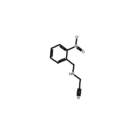 N#CCNCc1ccccc1[N+](=O)[O-]